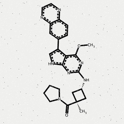 COc1nc(N[C@H]2C[C@](C)(C(=O)N3CCCC3)C2)nc2[nH]cc(-c3ccc4nccnc4c3)c12